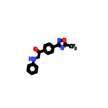 O=C(CNc1ccccc1)c1ccc(-c2noc(C(F)(F)F)n2)cc1